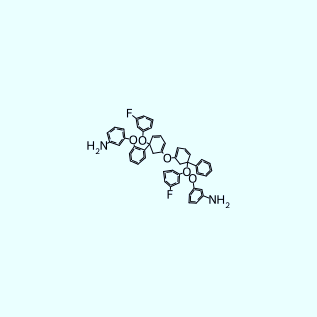 Nc1cccc(Oc2ccccc2C2(Oc3cccc(F)c3)C=CC=C(OC3=CC=CC(Oc4cccc(F)c4)(c4ccccc4Oc4cccc(N)c4)C3)C2)c1